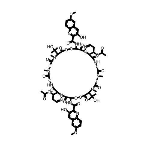 COc1ccc2nc(C(=O)NC3COC(=O)C(C(C)(C)O)N(C)C(=O)CN(C)C(=O)CNC(=O)C4C(OC(C)=O)CC=NN4C(=O)C(NC(=O)c4nc5ccc(OC)cc5cc4O)COC(=O)C(C(C)(C)O)N(C)C(=O)CN(C)C(=O)CNC(=O)C4C(OC(C)=O)CC=NN4C3=O)c(O)cc2c1